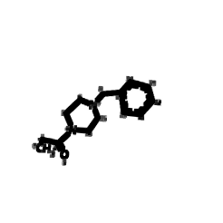 C[CH]C(=O)N1CCN(Cc2ccccc2)CC1